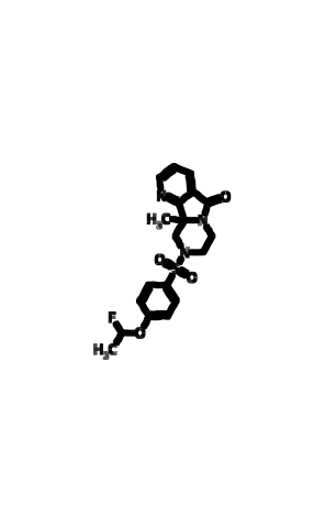 CC(F)Oc1ccc(S(=O)(=O)N2CCN3C(=O)c4cccnc4C3(C)C2)cc1